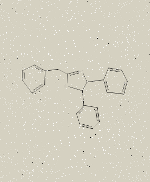 C[C@H](C1=NC(c2ccccc2)C(c2ccccc2)N1)c1ccccc1